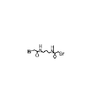 O=C(CBr)NCCCNC(=O)CBr